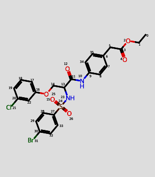 CCOC(=O)Cc1ccc(NC(=O)C(COc2cccc(Cl)c2)NS(=O)(=O)c2ccc(Br)cc2)cc1